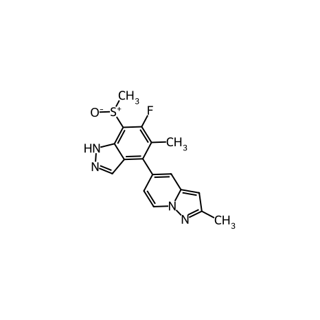 Cc1cc2cc(-c3c(C)c(F)c([S+](C)[O-])c4[nH]ncc34)ccn2n1